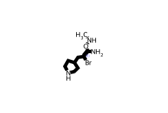 CNO/C(N)=C(/Br)CC1CCNCC1